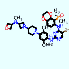 COc1cc(N2CCC(N3CC(N(C)C4COC4)C3)CC2)c(C)cc1Nc1ncc(Br)c(Nc2ccc3c(c2P(C)(C)=O)OCCO3)n1